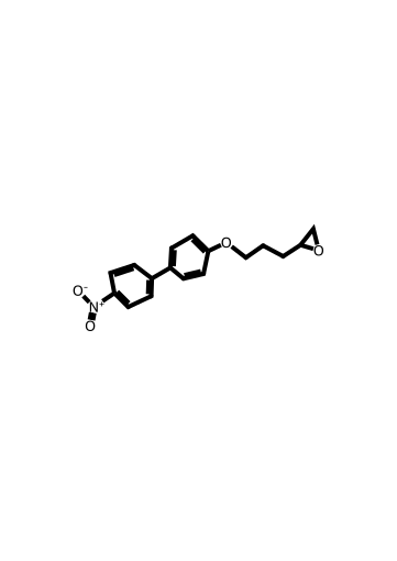 O=[N+]([O-])c1ccc(-c2ccc(OCCCC3CO3)cc2)cc1